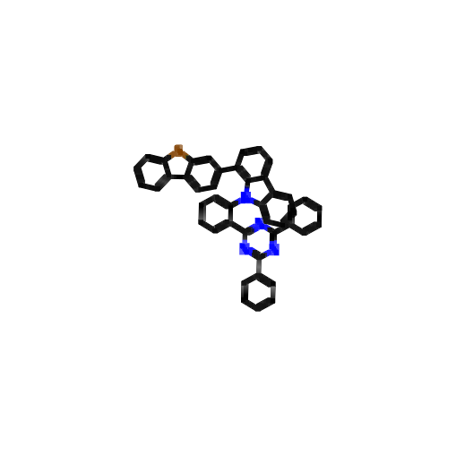 c1ccc(-c2nc(-c3ccccc3)nc(-c3ccccc3-n3c4ccccc4c4cccc(-c5ccc6c(c5)sc5ccccc56)c43)n2)cc1